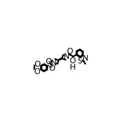 Cc1nc2cccc(C(O)C(=O)N3CC(=C4CN(S(=O)(=O)c5ccc6c(c5)OCCO6)C4)C3)c2s1